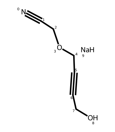 N#CCOCC#CCO.[NaH]